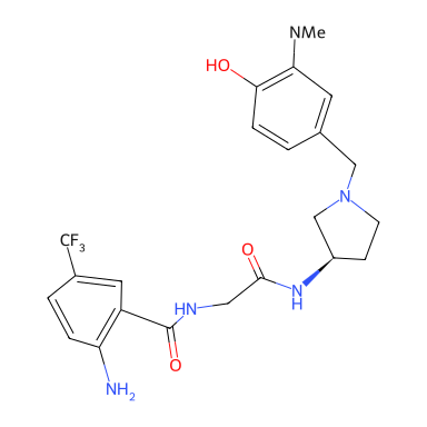 CNc1cc(CN2CC[C@@H](NC(=O)CNC(=O)c3cc(C(F)(F)F)ccc3N)C2)ccc1O